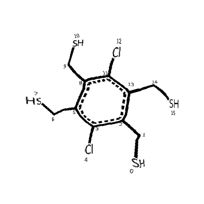 SCc1c(Cl)c(CS)c(CS)c(Cl)c1CS